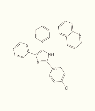 Clc1ccc(-c2nc(-c3ccccc3)c(-c3ccccc3)[nH]2)cc1.c1ccc2ncccc2c1